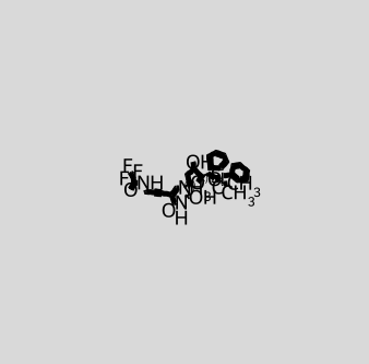 CC(C)(C)[Si](OC[C@H]1O[C@@H](N2C=C(C#CCNC(=O)C(F)(F)F)C(=O)NC2O)CC1O)(c1ccccc1)c1ccccc1